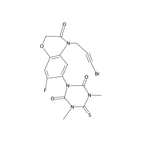 Cn1c(=S)n(C)c(=O)n(-c2cc3c(cc2F)OCC(=O)N3CC#CBr)c1=O